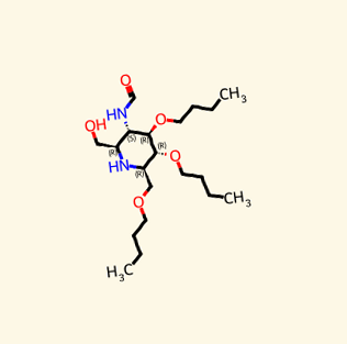 CCCCOC[C@H]1N[C@@H](CO)[C@H](NC=O)[C@@H](OCCCC)[C@@H]1OCCCC